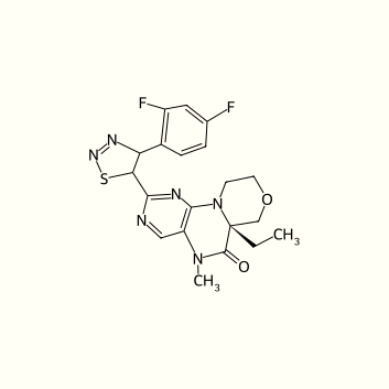 CC[C@]12COCCN1c1nc(C3SN=NC3c3ccc(F)cc3F)ncc1N(C)C2=O